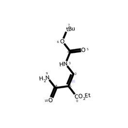 CCOC(=O)/C(=C/NC(=O)OC(C)(C)C)C(N)=O